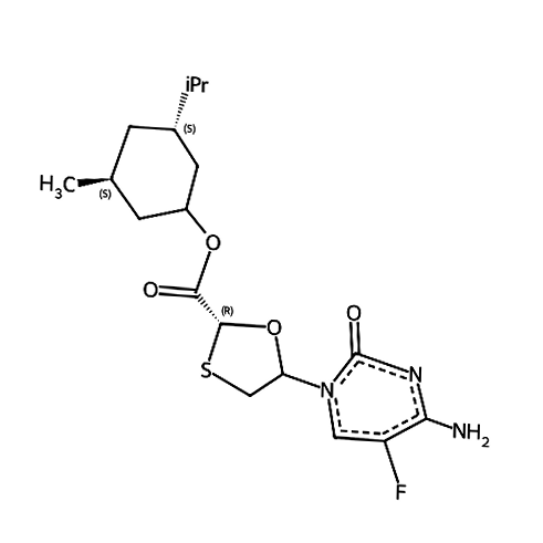 CC(C)[C@@H]1CC(OC(=O)[C@@H]2OC(n3cc(F)c(N)nc3=O)CS2)C[C@@H](C)C1